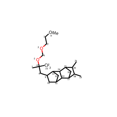 COCCOCOC(C)(CC1CC2CC1C1C3CC(C(C)C3C)C21)C(F)(F)F